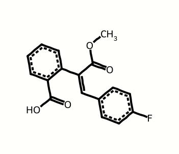 COC(=O)C(=Cc1ccc(F)cc1)c1ccccc1C(=O)O